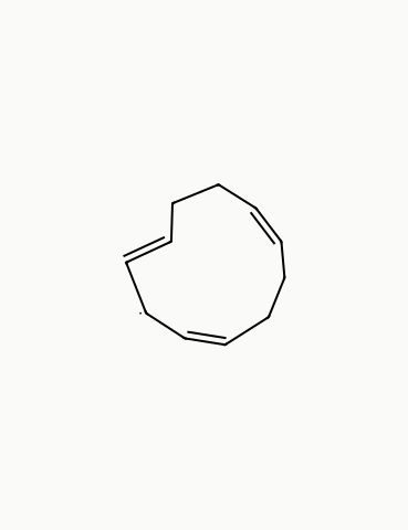 [CH]1/C=C\CC/C=C\CC/C=C/1